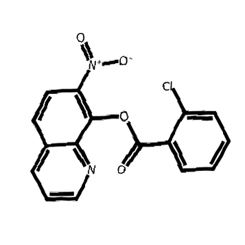 O=C(Oc1c([N+](=O)[O-])ccc2cccnc12)c1ccccc1Cl